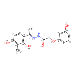 CC/C(=N\NC(=O)COc1cccc(O)c1)c1ccc(O)c(C)c1O